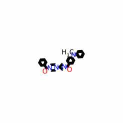 CN(c1ccccc1)c1ccc(C(=O)N2CC(N3CCN(C(=O)c4ccccc4)CC3)C2)cc1